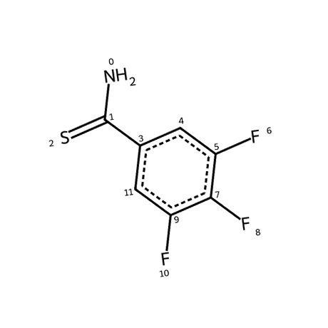 NC(=S)c1cc(F)c(F)c(F)c1